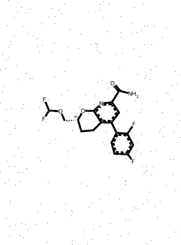 NC(=O)c1cc(-c2ccc(F)cc2F)c2c(n1)O[C@@H](COC(F)F)CC2